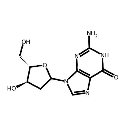 Nc1nc2c(ncn2C2C[C@@H](O)[C@H](CO)O2)c(=O)[nH]1